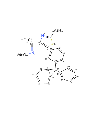 CON=C(C(=O)O)c1csc([AsH2])n1.c1ccc(C2(c3ccccc3)c3ccccc32)cc1